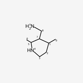 CC1CCNC(C)C1CN